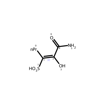 CCC/C(=C(/O)C(N)=O)S(=O)(=O)O